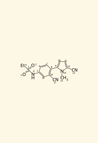 CCS(=O)(=O)Nc1ccc(-c2ccc(C#N)n2C)c(C#N)c1